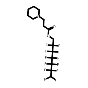 O=C(CCN1CCCCC1)OCC(F)(F)C(F)(F)C(F)(F)C(F)(F)C(F)(F)C(F)F